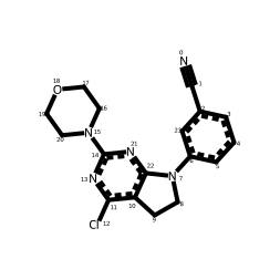 N#Cc1cccc(N2CCc3c(Cl)nc(N4CCOCC4)nc32)c1